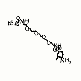 Cc1cc(S(=O)(=O)NCCOCCOCCOCCCOCCNC(=O)OC(C)(C)C)ccc1N